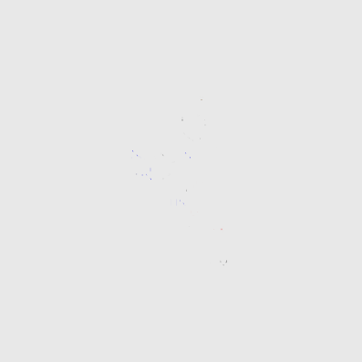 COCC(O)CONC(=O)c1cn2ccnc2c(F)c1Nc1ccc(Br)cc1Cl